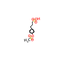 CS(=O)(=O)Oc1ccc(CCCS(=O)(=O)O)cc1